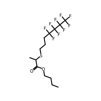 CCCCOC(=O)C(C)SCCCC(F)(F)C(F)(F)C(F)(F)C(F)(F)F